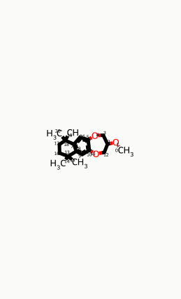 COC1COc2cc3c(cc2OC1)C(C)(C)CCC3(C)C